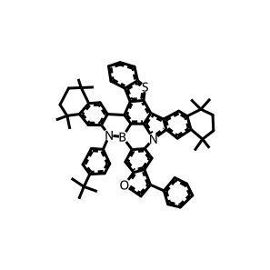 CC(C)(C)c1ccc(N2B3c4cc5occ(-c6ccccc6)c5cc4-n4c5cc6c(cc5c5c7sc8ccccc8c7c(c3c54)-c3cc4c(cc32)C(C)(C)CCC4(C)C)C(C)(C)CCC6(C)C)cc1